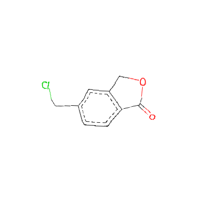 O=C1OCc2cc(CCl)ccc21